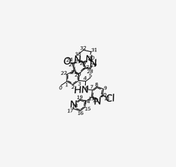 Cc1cc(C(C)Nc2ccc(Cl)nc2-c2cccnc2)c2c(c1)c(=O)n1c3c2cnn3CCC1